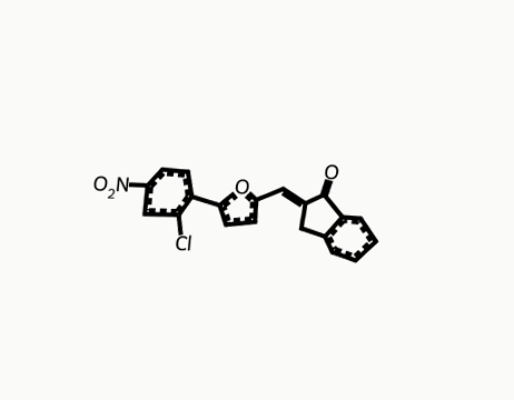 O=C1C(=Cc2ccc(-c3ccc([N+](=O)[O-])cc3Cl)o2)Cc2ccccc21